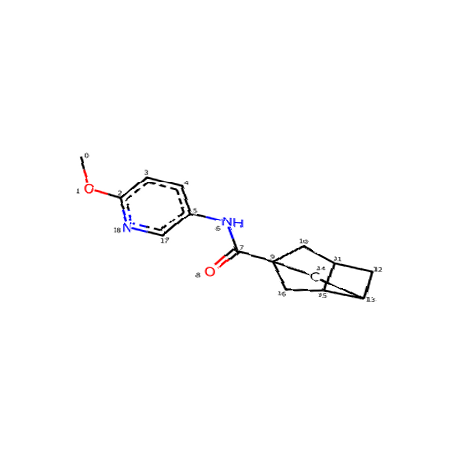 COc1ccc(NC(=O)C23CC4CC(C2)C4C3)cn1